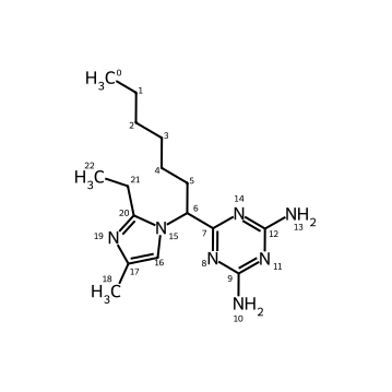 CCCCCCC(c1nc(N)nc(N)n1)n1cc(C)nc1CC